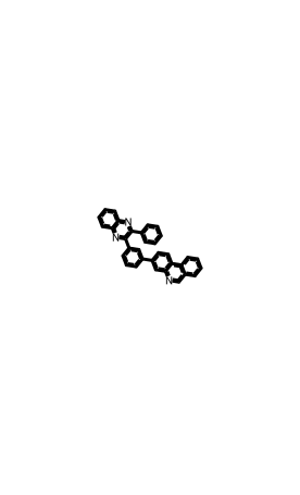 c1ccc(-c2nc3ccccc3nc2-c2cccc(-c3ccc4c(c3)ncc3ccccc34)c2)cc1